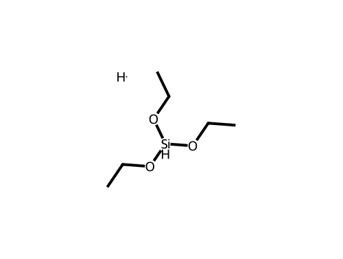 CCO[SiH](OCC)OCC.[H]